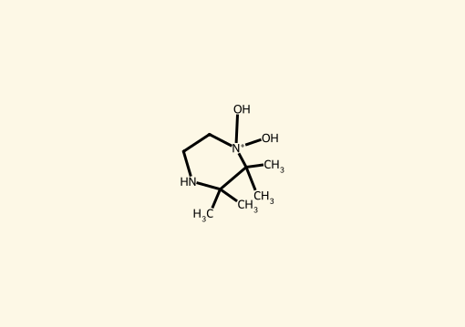 CC1(C)NCC[N+](O)(O)C1(C)C